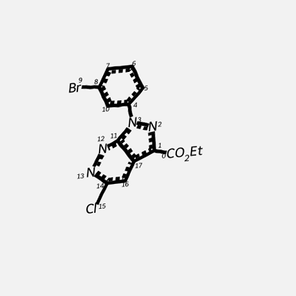 CCOC(=O)c1nn(-c2cccc(Br)c2)c2nnc(Cl)cc12